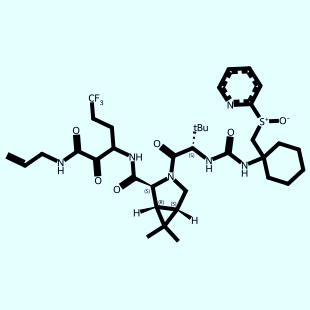 C=CCNC(=O)C(=O)C(CCC(F)(F)F)NC(=O)[C@@H]1[C@@H]2[C@H](CN1C(=O)[C@@H](NC(=O)NC1(C[S+]([O-])c3ccccn3)CCCCC1)C(C)(C)C)C2(C)C